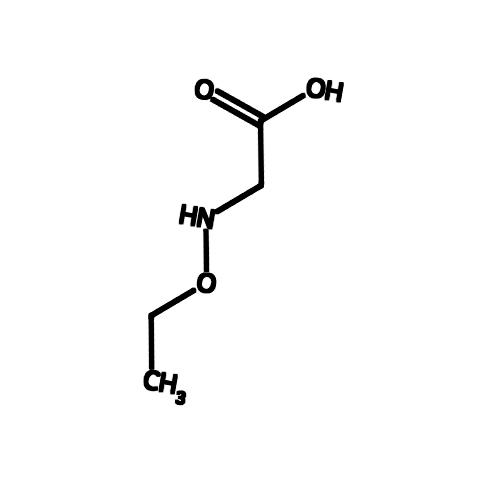 CCONCC(=O)O